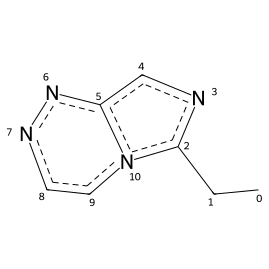 CCc1ncc2nnccn12